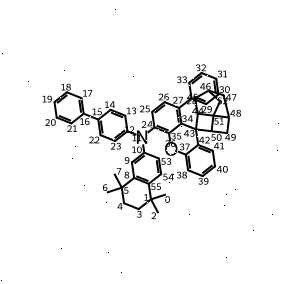 CC1(C)CCC(C)(C)c2cc(N(c3ccc(-c4ccccc4)cc3)c3ccc(-c4ccccc4)c4c3Oc3ccccc3C43C4CC5CC6CC3C64C5)ccc21